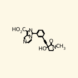 CN1CCC(O)(C#Cc2cccc(-c3nc(C(=O)O)c4cnccn34)c2)C1=O